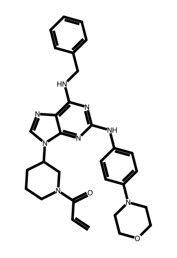 C=CC(=O)N1CCCC(n2cnc3c(NCc4ccccc4)nc(Nc4ccc(N5CCOCC5)cc4)nc32)C1